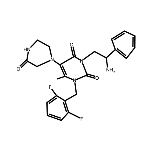 Cc1c(N2CCNC(=O)C2)c(=O)n(CC(N)c2ccccc2)c(=O)n1Cc1c(F)cccc1F